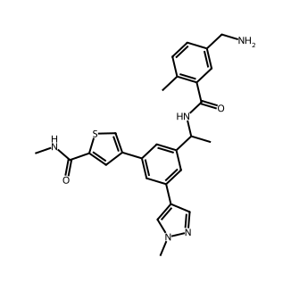 CNC(=O)c1cc(-c2cc(-c3cnn(C)c3)cc(C(C)NC(=O)c3cc(CN)ccc3C)c2)cs1